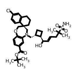 CC(C)(C)OC(=O)c1ccc2c(c1)N(C[C@@H]1CC[C@H]1C(O)/C=C/CC(C)(C)S(N)(=O)=O)C[C@@]1(CCCc3cc(Cl)ccc31)CO2